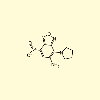 Nc1cc([N+](=O)[O-])c2nonc2c1N1CCCC1